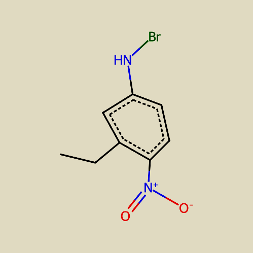 CCc1cc(NBr)ccc1[N+](=O)[O-]